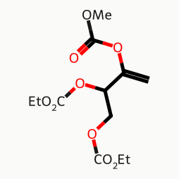 C=C(OC(=O)OC)C(COC(=O)OCC)OC(=O)OCC